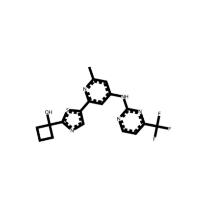 Cc1cc(Nc2nccc(C(F)(F)F)n2)cc(-c2cnc(C3(O)CCC3)s2)n1